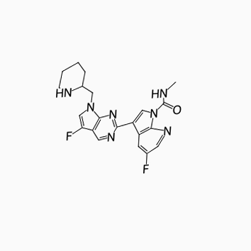 CNC(=O)n1cc(-c2ncc3c(F)cn(CC4CCCCN4)c3n2)c2cc(F)cnc21